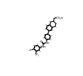 O=C(O)CC1CCc2cc(-c3ccc(NC(=O)Nc4ccc(F)c(C(F)(F)F)c4)cc3)ccc2C1